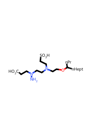 CCCCCCCC(CCC)OCCN(CCN(N)CCC(=O)O)CCS(=O)(=O)O